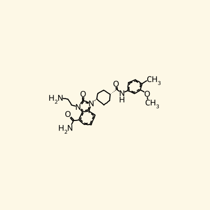 COc1cc(NC(=O)[C@H]2CC[C@@H](n3c(=O)n(CCN)c4c(C(N)=O)cccc43)CC2)ccc1C